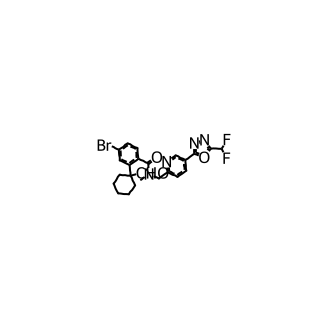 CN(Cc1ccc(-c2nnc(C(F)F)o2)cn1)C(=O)c1ccc(Br)cc1C1(C=O)CCCCC1